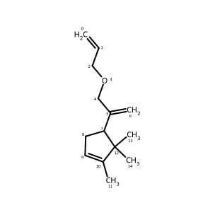 C=CCOCC(=C)C1CC=C(C)C1(C)C